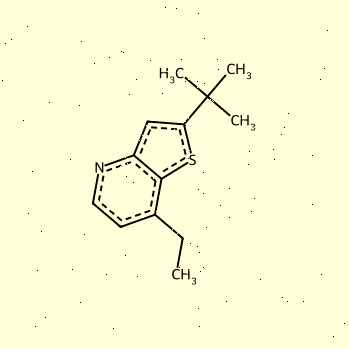 CCc1ccnc2cc(C(C)(C)C)sc12